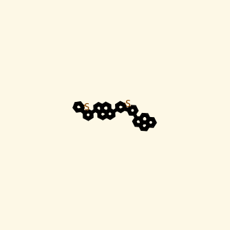 c1cc2ccc3ccc(-c4ccc5sc6ccc(-c7ccc8ccc9c(-c%10cccc%11c%10sc%10ccccc%10%11)ccc%10ccc7c8c%109)cc6c5c4)c4ccc(c1)c2c34